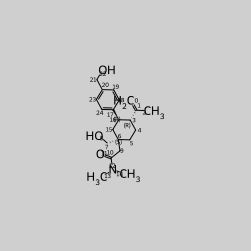 C=C(C)[C@@H]1CC[C@@](CO)(CC(=O)N(C)C)C[C@H]1c1ccc(CO)cc1